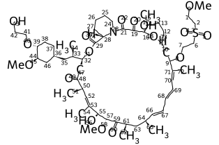 COCCS(=O)(=O)CCOC1C[C@@H]2CC[C@@H](C)[C@@](O)(O2)C(=O)C(=O)N2CCCC[C@H]2C(=O)O[C@H]([C@H](C)C[C@@H]2CC[C@@H](OCCO)[C@H](OC)C2)CC(=O)[C@H](C)/C=C(\C)[C@H](O)[C@@H](OC)C(=O)[C@H](C)C[C@H](C)/C=C/C=C/C=C/1C